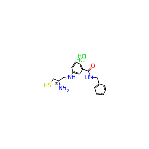 Cl.Cl.N[C@@H](CS)CNc1cccc(C(=O)NCc2ccccc2)c1